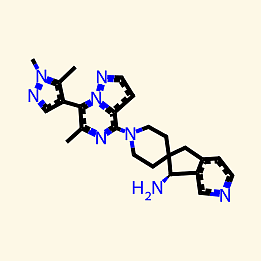 Cc1nc(N2CCC3(CC2)Cc2ccncc2[C@H]3N)c2ccnn2c1-c1cnn(C)c1C